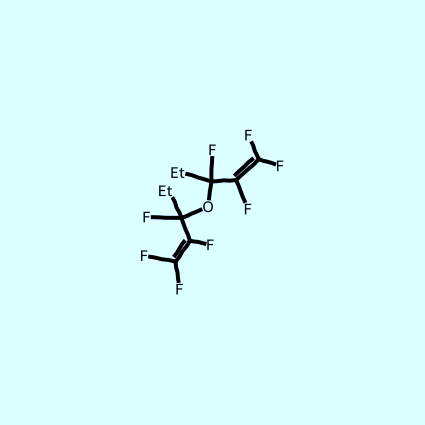 CCC(F)(OC(F)(CC)C(F)=C(F)F)C(F)=C(F)F